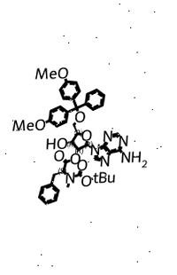 COc1ccc(C(OC[C@H]2O[C@@H](n3cnc4c(N)ncnc43)[C@H](OC(=O)[C@H](Cc3ccccc3)N(C)C(=O)OC(C)(C)C)[C@@H]2O)(c2ccccc2)c2ccc(OC)cc2)cc1